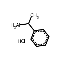 C[CH]([AlH2])c1ccccc1.Cl